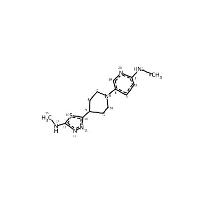 CNc1ccc(N2CCC(c3nnc(NC)s3)CC2)cn1